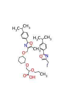 CC(C)c1ccc(-c2nc(CI)co2)cc1.CCCOC(CO[C@@H]1CCC[C@H](OCc2nc(-c3ccc(C(C)C)cc3)oc2C)C1)C(=O)O